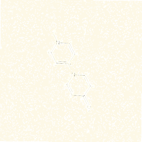 CN1C=CC(n2ccc(=O)cc2)=CC1